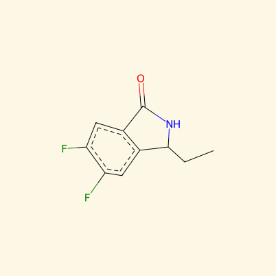 CCC1NC(=O)c2cc(F)c(F)cc21